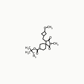 COC1CC(CN2C(=O)N(C)C(=O)C23CCN(C(=O)OC(C)(C)C)CC3)C1